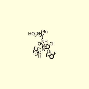 Cc1nc2c(OCc3c(F)cccc3F)cc(Cl)cn2c1C(=O)NCCC(C)(C)N(C(=O)O)C(C)(C)C.O=C(O)C(F)(F)F